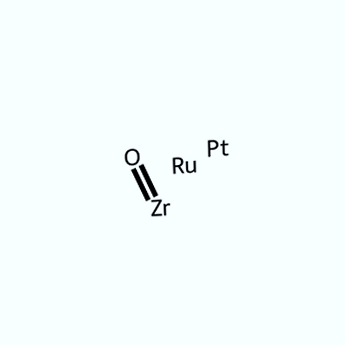 [O]=[Zr].[Pt].[Ru]